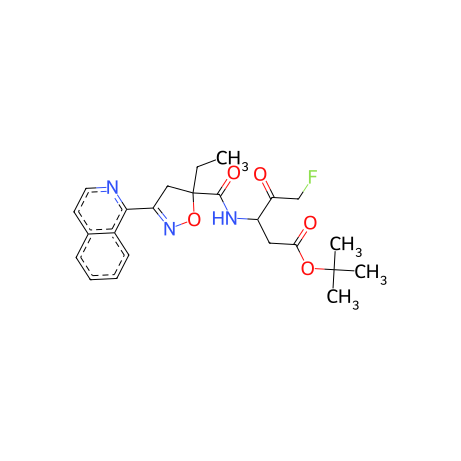 CCC1(C(=O)NC(CC(=O)OC(C)(C)C)C(=O)CF)CC(c2nccc3ccccc23)=NO1